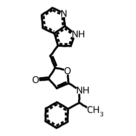 CC(NC1=CC(=O)/C(=C/c2c[nH]c3ncccc23)O1)c1ccccc1